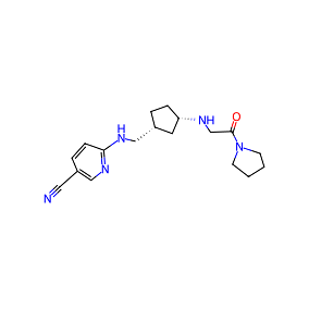 N#Cc1ccc(NC[C@@H]2CC[C@H](NCC(=O)N3CCCC3)C2)nc1